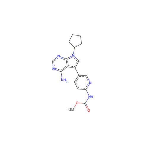 CC(C)(C)OC(=O)Nc1ccc(-c2cn(C3CCCC3)c3ncnc(N)c23)cn1